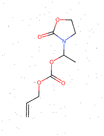 C=CCOC(=O)OC(C)N1CCOC1=O